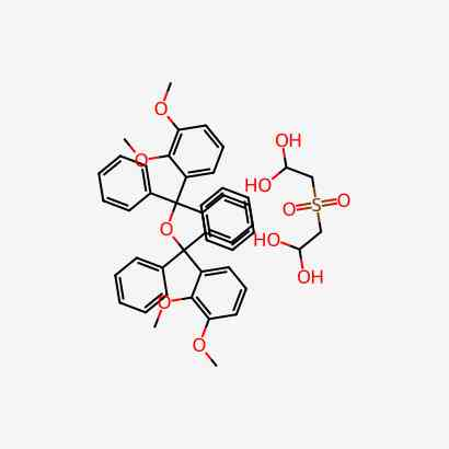 COc1cccc(C(OC(c2ccccc2)(c2ccccc2)c2cccc(OC)c2OC)(c2ccccc2)c2ccccc2)c1OC.O=S(=O)(CC(O)O)CC(O)O